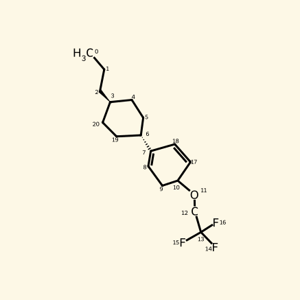 CCC[C@H]1CC[C@H](C2=CCC(OCC(F)(F)F)C=C2)CC1